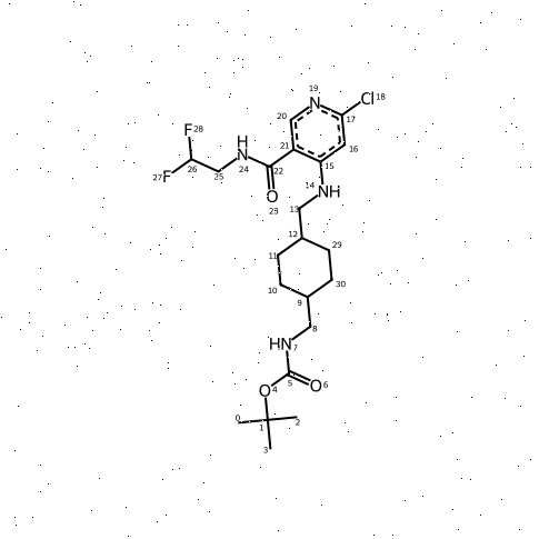 CC(C)(C)OC(=O)NCC1CCC(CNc2cc(Cl)ncc2C(=O)NCC(F)F)CC1